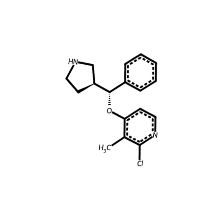 Cc1c(O[C@@H](c2ccccc2)[C@H]2CCNC2)ccnc1Cl